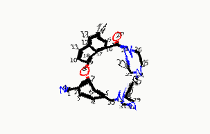 N#Cc1ccc2cc1Oc1ccc3cccc(c3c1)C(=O)N1CCN(CC1)Cc1cncn1C2